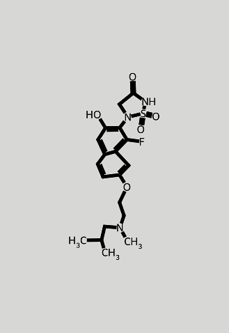 CC(C)CN(C)CCOc1ccc2cc(O)c(N3CC(=O)NS3(=O)=O)c(F)c2c1